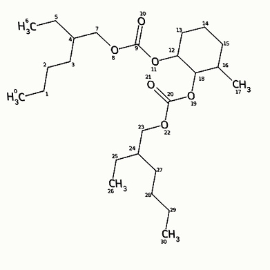 CCCCC(CC)COC(=O)OC1CCCC(C)C1OC(=O)OCC(CC)CCCC